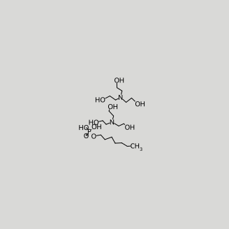 CCCCCCCOP(=O)(O)O.OCCN(CCO)CCO.OCCN(CCO)CCO